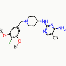 CCOc1cc(CN2CCC(Nc3ncc(C#N)c(N)n3)CC2)cc(OCC)c1F